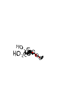 O=C(O)CCCOc1cc(C(=O)O)ccc1NC(=O)CCc1cccc(OCCCCOc2ccccc2)c1